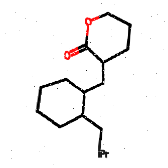 CC(C)CC1CCCCC1CC1CCCOC1=O